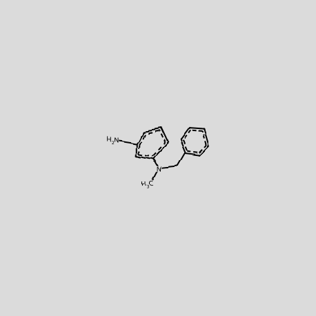 CN(Cc1ccccc1)c1cccc(N)c1